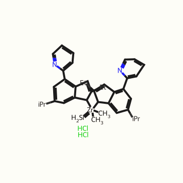 CCC1=Cc2c(-c3ccccn3)cc(C(C)C)cc2[CH]1[Zr]([CH3])([CH3])(=[SiH2])[CH]1C(CC)=Cc2c(-c3ccccn3)cc(C(C)C)cc21.Cl.Cl